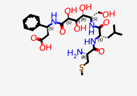 CSC[C@H](N)C(=O)N[C@@H](CC(C)C)C(=O)N[C@@H](CO)[C@@H](O)[C@@H](O)[C@H](O)C(=O)N[C@@H](CC(=O)O)c1ccccc1